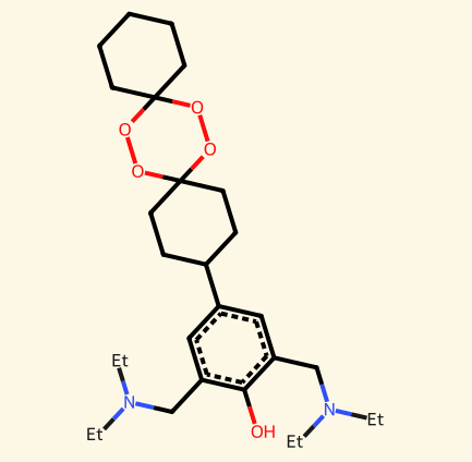 CCN(CC)Cc1cc(C2CCC3(CC2)OOC2(CCCCC2)OO3)cc(CN(CC)CC)c1O